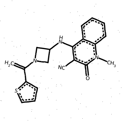 C=C(c1cccs1)N1CC(Nc2c(C#N)c(=O)n(C)c3ccccc23)C1